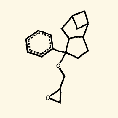 c1ccc(C2(OCC3CO3)CCC3C4CC(C4)CC32)cc1